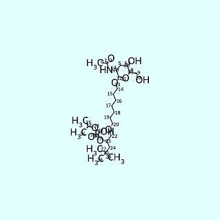 CC(=O)N[C@@H]1C[C@@H](O)[C@@H](CO)OC1OCCCCCCCOCC(CC(C)(C)C)OP(=O)(O)OC(C)C